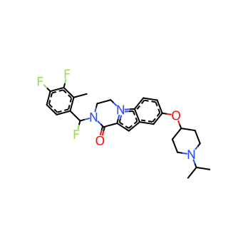 Cc1c(C(F)N2CCn3c(cc4cc(OC5CCN(C(C)C)CC5)ccc43)C2=O)ccc(F)c1F